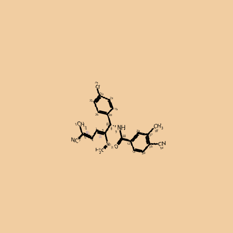 C=N/C(=C\C=C(/C)C#N)[C@@H](NC(=O)c1ccc(C#N)c(C)c1)c1ccc(Cl)cc1